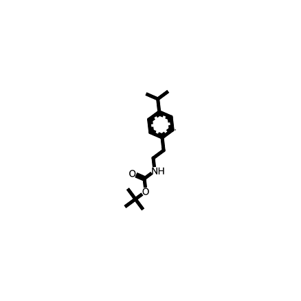 CC(C)c1c[c]c(CCNC(=O)OC(C)(C)C)cc1